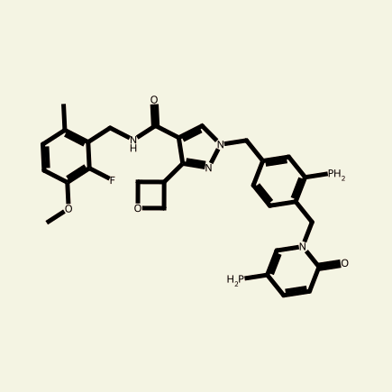 COc1ccc(C)c(CNC(=O)c2cn(Cc3ccc(Cn4cc(P)ccc4=O)c(P)c3)nc2C2COC2)c1F